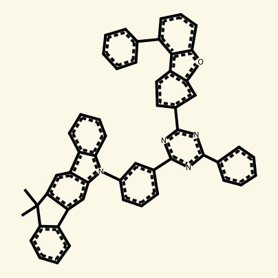 CC1(C)c2ccccc2-c2cc3c(cc21)c1ccccc1n3-c1cccc(-c2nc(-c3ccccc3)nc(-c3ccc4c(c3)oc3cccc(-c5ccccc5)c34)n2)c1